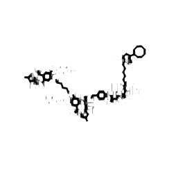 COc1cc2c(cc1OCCCCCOc1cc3c(cc1OC)C(=O)N1C=C(C)C[C@H]1[C@H](O)N3C(=O)OCc1ccc(NC(=O)[C@H](C)NC(=O)[C@@H](NC(=O)CCCCCN3C(=O)CC(C4CCCCCCC4)C3=O)C(C)C)cc1)N=C[C@@H]1CC(C)=CN1C2=O